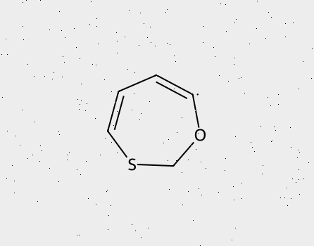 [C]1=CC=CSCO1